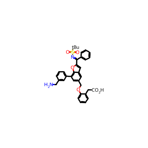 CC(C)(C)S(=O)(=O)N=C(c1ccccc1)c1cc2cc(COc3ccccc3CC(=O)O)cc(-c3cccc(CN)c3)c2o1